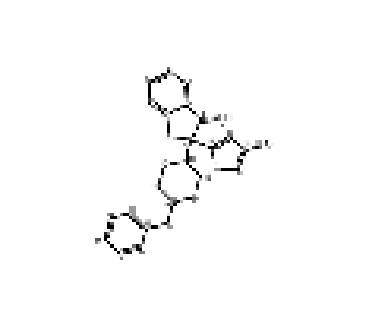 N=C1c2ccccc2CC1(c1cc(Br)cs1)N1CCN(Cc2ccccc2)CC1